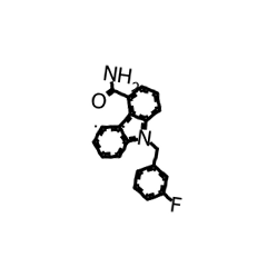 NC(=O)c1cccc2c1c1[c]cccc1n2Cc1cccc(F)c1